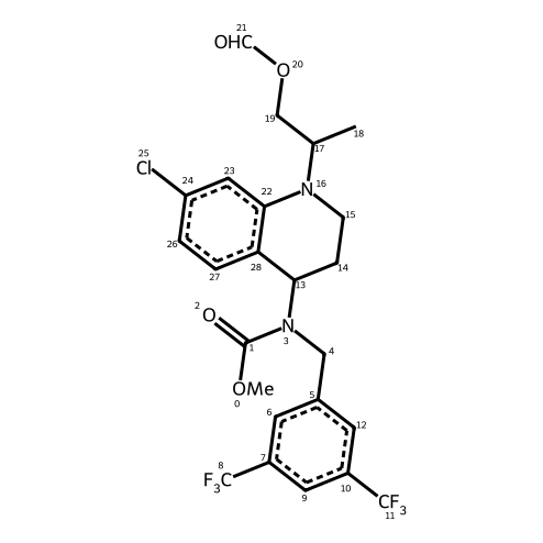 COC(=O)N(Cc1cc(C(F)(F)F)cc(C(F)(F)F)c1)C1CCN(C(C)COC=O)c2cc(Cl)ccc21